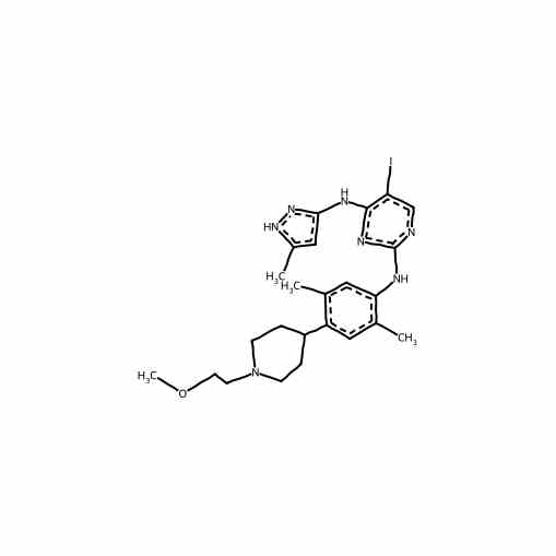 COCCN1CCC(c2cc(C)c(Nc3ncc(I)c(Nc4cc(C)[nH]n4)n3)cc2C)CC1